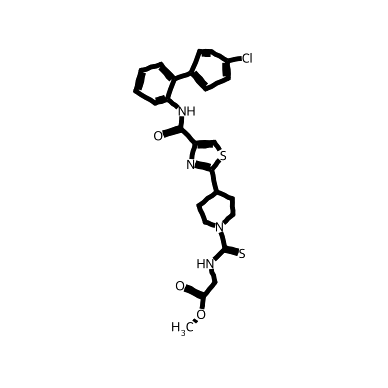 COC(=O)CNC(=S)N1CCC(c2nc(C(=O)Nc3ccccc3-c3ccc(Cl)cc3)cs2)CC1